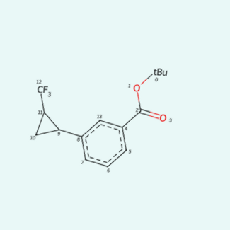 CC(C)(C)OC(=O)c1cccc(C2CC2C(F)(F)F)c1